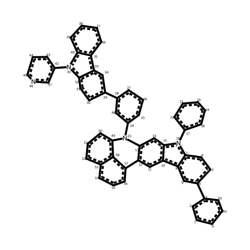 c1ccc(-c2ccc3c(c2)c2cc4c(cc2n3-c2ccccc2)N(c2cccc(-c3ccc5c(c3)c3ccccc3n5-c3cccnc3)c2)c2cccc3cccc-4c23)cc1